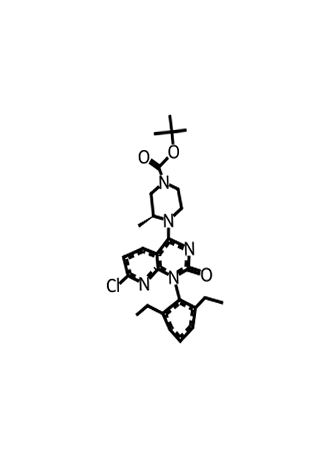 CCc1cccc(CC)c1-n1c(=O)nc(N2CCN(C(=O)OC(C)(C)C)C[C@@H]2C)c2ccc(Cl)nc21